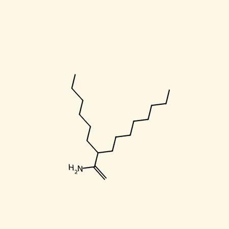 C=C(N)C(CCCCCC)CCCCCCCC